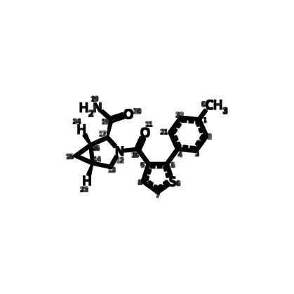 Cc1ccc(-c2sccc2C(=O)N2C[C@@H]3C[C@@H]3[C@H]2C(N)=O)cc1